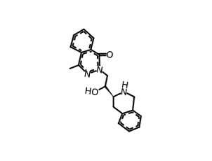 Cc1nn(CC(O)[C@@H]2Cc3ccccc3CN2)c(=O)c2ccccc12